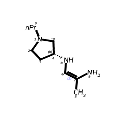 CCCN1CC[C@@H](N/C=C(/C)N)C1